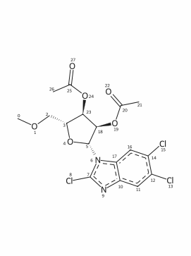 COC[C@H]1O[C@@H](n2c(Cl)nc3cc(Cl)c(Cl)cc32)[C@H](OC(C)=O)[C@@H]1OC(C)=O